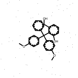 COc1ccc(C(c2ccccc2)(c2ccc(OC)cc2)c2c(O)cccc2CO)cc1